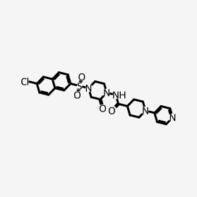 O=C(NN1CCN(S(=O)(=O)c2ccc3cc(Cl)ccc3c2)CC1=O)C1CCN(c2ccncc2)CC1